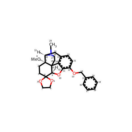 CO[C@@]12CCC3(OCCO3)[C@@H]3Oc4c(OCc5ccccc5)ccc5c4C31CCN(C)[C@@H]2C5